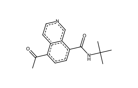 CC(=O)c1ccc(C(=O)NC(C)(C)C)c2cnccc12